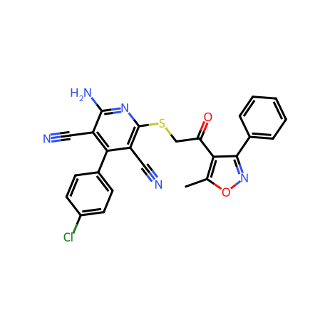 Cc1onc(-c2ccccc2)c1C(=O)CSc1nc(N)c(C#N)c(-c2ccc(Cl)cc2)c1C#N